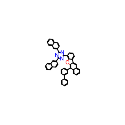 c1ccc(-c2cccc(-c3c4ccccc4cc4c3oc3c(-c5nc(-c6ccc7ccccc7c6)nc(-c6ccc7ccccc7c6)n5)cccc34)c2)cc1